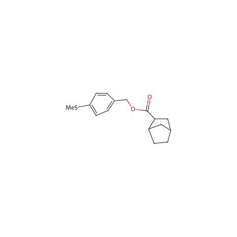 CSc1ccc(COC(=O)C2CC3CCC2C3)cc1